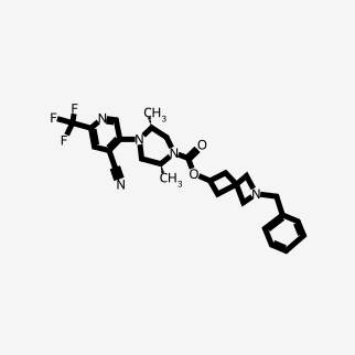 C[C@@H]1CN(c2cnc(C(F)(F)F)cc2C#N)[C@H](C)CN1C(=O)OC1CC2(C1)CN(Cc1ccccc1)C2